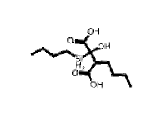 CCCC[SiH2]C(O)(C(=O)O)C(CCCC)C(=O)O